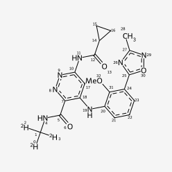 [2H]C([2H])([2H])NC(=O)c1nnc(NC(=O)C2CC2)cc1Nc1cccc(-c2nc(C)no2)c1OC